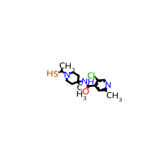 Cc1cc(C(=O)NC2(C)CCN(C(C)S)CC2)c(Cl)cn1